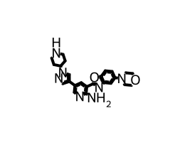 Nc1ncc(-c2cnn(C3CCNCC3)c2)cc1-c1nc2cc(N3CCOCC3)ccc2o1